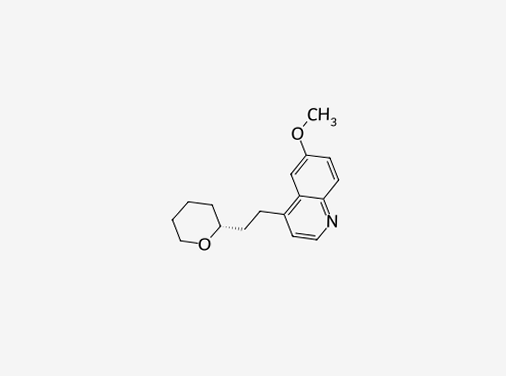 COc1ccc2nccc(CC[C@H]3CCCCO3)c2c1